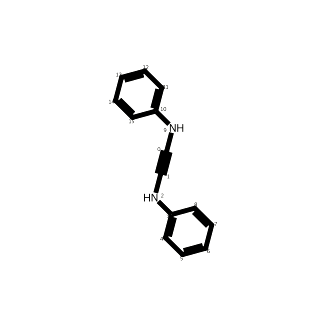 C(#CNc1ccccc1)Nc1ccccc1